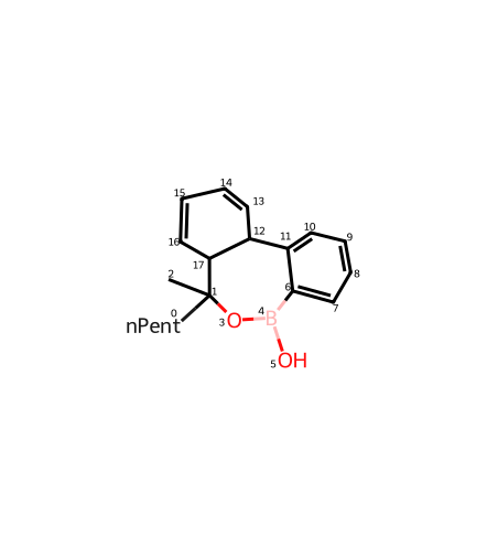 CCCCCC1(C)OB(O)c2ccccc2C2C=CC=CC21